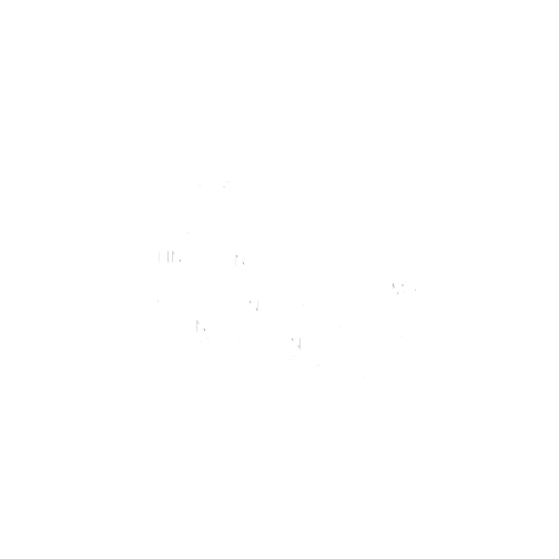 COc1ccccc1C[C@H]1CN(C2=Nc3ccccc3NC3SC(C)=NC23)CCN1C